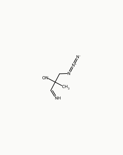 CC(C=N)(CN=[N+]=[N-])N=O